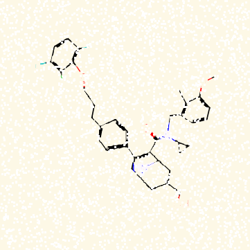 COc1cccc(CN(C(=O)C2=C(c3ccc(CCCOc4c(F)ccc(F)c4Cl)cc3)CC3CC(CO)CC2N3)C2CC2)c1C